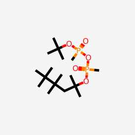 CC(C)(C)OP(C)(=O)OP(C)(=O)OC(C)(C)CC(C)(C)C(C)(C)C